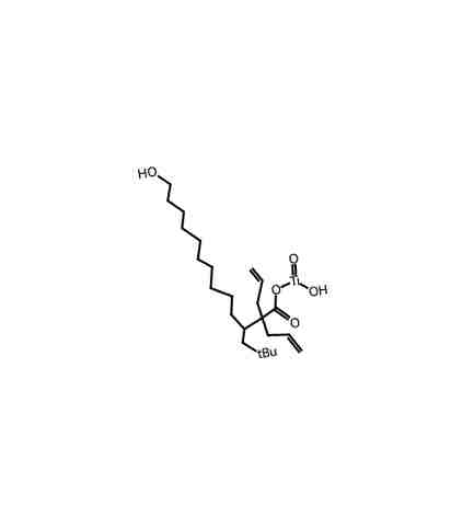 C=CCC(CC=C)(C(=O)[O][Ti](=[O])[OH])C(CCCCCCCCCCO)CC(C)(C)C